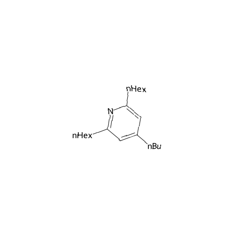 [CH2]CCCc1cc(CCCCCC)nc(CCCCCC)c1